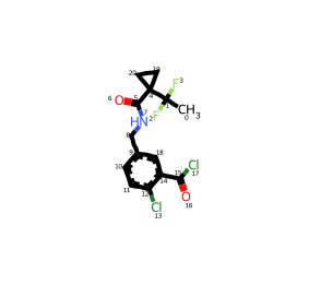 CC(F)(F)C1(C(=O)NCc2ccc(Cl)c(C(=O)Cl)c2)CC1